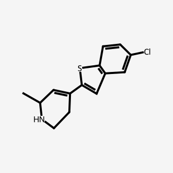 CC1C=C(c2cc3cc(Cl)ccc3s2)CCN1